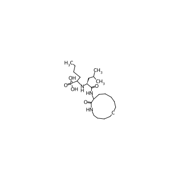 CCCCC(N[C@@H](CC(C)C)C(=O)NC1CCCCCCCCCCNC1=O)P(=O)(O)O